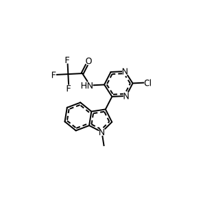 Cn1cc(-c2nc(Cl)ncc2NC(=O)C(F)(F)F)c2ccccc21